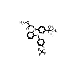 COC(=O)CN(c1ccc(C(C)(C)C)cc1)c1ccccc1Oc1ccc(OC(F)(F)F)cc1